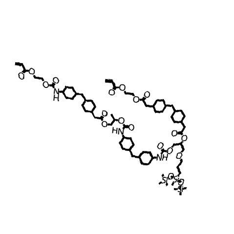 C=CC(=O)OCCOC(=O)CC1CCC(CC2CCC(CC(=O)OC(COCCC[Si](C)(O[Si](C)(C)C)O[Si](C)(C)C)COC(=O)NC3CCC(CC4CCC(NC(=O)OC(C)COC(=O)CC5CCC(CC6CCC(NC(=O)OCCOC(=O)C=C)CC6)CC5)CC4)CC3)CC2)CC1